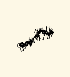 Cc1cc(-c2n[nH]c3ncc(-c4ccc(NCCNCC5CCN(c6ccc(N7CCC(=O)NC7=O)cc6)CC5)cc4)cc23)ccc1CNC(=O)c1noc(C(C)(C)C)n1